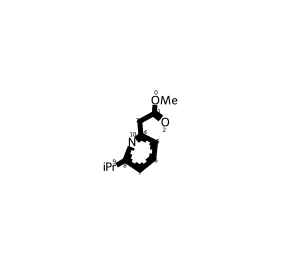 COC(=O)Cc1cccc(C(C)C)n1